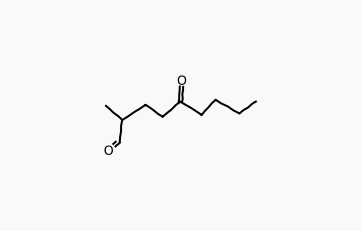 CCCCC(=O)CCC(C)C=O